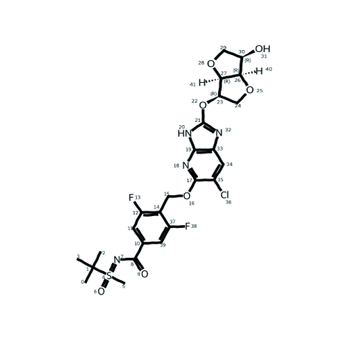 CC(C)(C)S(C)(=O)=NC(=O)c1cc(F)c(COc2nc3[nH]c(O[C@@H]4CO[C@H]5[C@@H]4OC[C@H]5O)nc3cc2Cl)c(F)c1